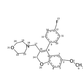 COc1ccc2c(c1)C(c1ccc(F)cc1)=C(CN1CCOCC1)CO2